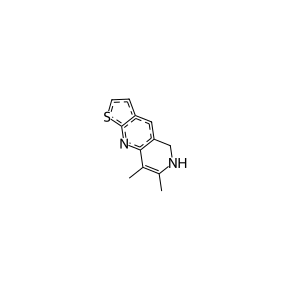 CC1=C(C)c2nc3sccc3cc2CN1